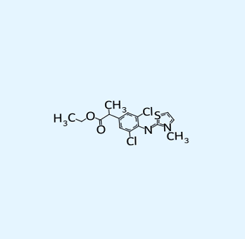 CCOC(=O)C(C)c1cc(Cl)c(N=c2sccn2C)c(Cl)c1